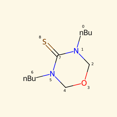 CCCCN1COCN(CCCC)C1=S